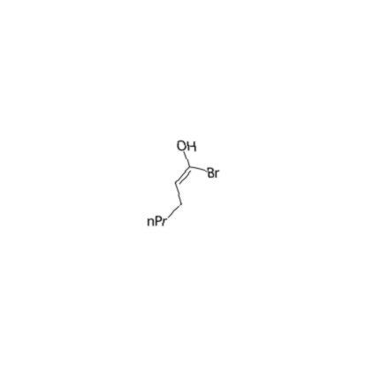 CCCC/C=C(/O)Br